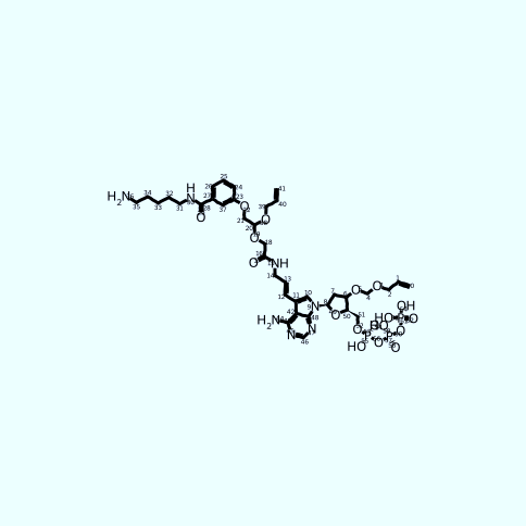 C=CCOCOC1C[C@H](n2cc(/C=C/CNC(=O)COC(COc3cccc(C(=O)NCCCCCN)c3)OCC=C)c3c(N)ncnc32)O[C@@H]1COP(=O)(O)OP(=O)(O)OP(=O)(O)O